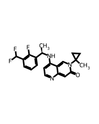 C[C@@H](Nc1ccnc2cc(=O)n(C3(C)CC3)cc12)c1cccc(C(F)F)c1F